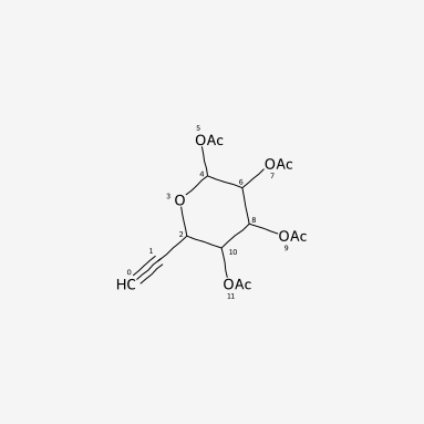 C#CC1OC(OC(C)=O)C(OC(C)=O)C(OC(C)=O)C1OC(C)=O